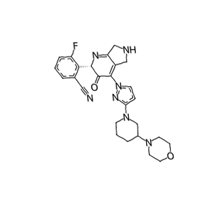 N#Cc1cccc(F)c1[C@@H]1N=C2CNCC2=C(n2ccc(N3CCCC(N4CCOCC4)C3)n2)C1=O